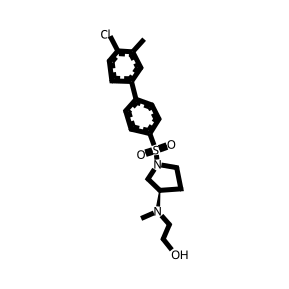 Cc1cc(-c2ccc(S(=O)(=O)N3CC[C@@H](N(C)CCO)C3)cc2)ccc1Cl